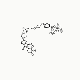 CC1(C)OB(c2ccc(O[C@H]3C[C@H](OCCCC(F)(F)CN4CCN(c5ccc6c(c5)C(=O)N(C5CCC(=O)NC5=O)C6=O)CC4)C3)nc2)OC1(C)C